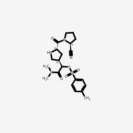 Cc1ccc(S(=O)(=O)OC(C(=O)N(C)C)[C@H]2CN[C@H](C(=O)N3CCC[C@H]3C#N)C2)cc1